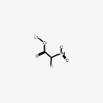 CCOC(=O)C(CC)[PH](=O)Cl